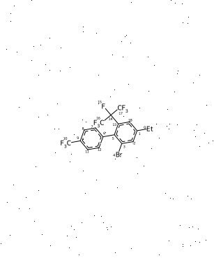 CCc1[c]c(Br)c(-c2ccc(C(F)(F)F)cc2)c(C(F)(C(F)(F)F)C(F)(F)F)c1